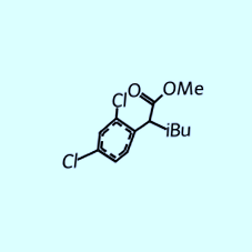 CCC(C)C(C(=O)OC)c1ccc(Cl)cc1Cl